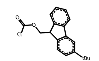 CC(C)(C)c1ccc2c(c1)-c1ccccc1C2COC(=O)Cl